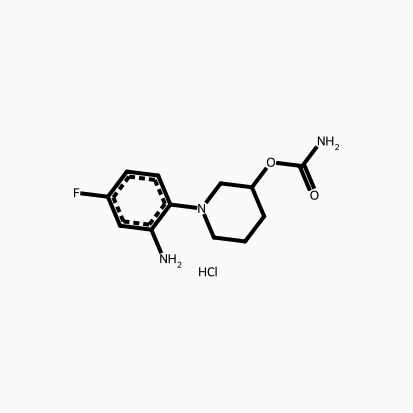 Cl.NC(=O)OC1CCCN(c2ccc(F)cc2N)C1